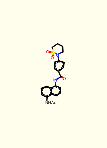 CC(=O)Nc1cccc2c(NC(=O)c3ccc(N4CCCCS4(=O)=O)cc3)cccc12